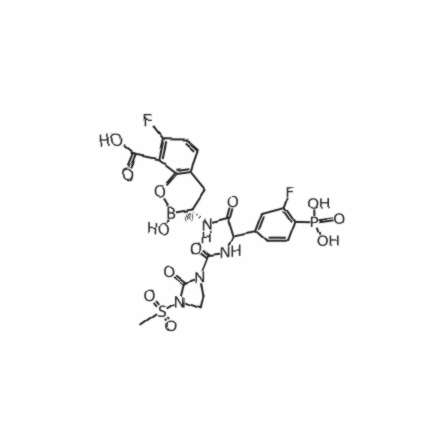 CS(=O)(=O)N1CCN(C(=O)NC(C(=O)N[C@H]2Cc3ccc(F)c(C(=O)O)c3OB2O)c2ccc(P(=O)(O)O)c(F)c2)C1=O